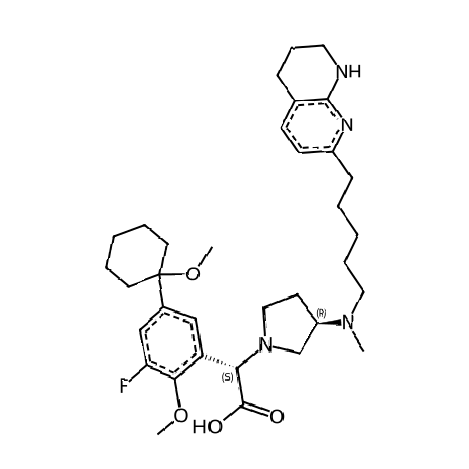 COc1c(F)cc(C2(OC)CCCCC2)cc1[C@@H](C(=O)O)N1CC[C@@H](N(C)CCCCCc2ccc3c(n2)NCCC3)C1